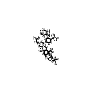 COC(=O)c1ccc([C@H]2CN(CC(F)F)CCN2Cc2c(OC)cc(C)c3c2ccn3C(=O)OC(C)(C)C)cc1NC1CCOCC1